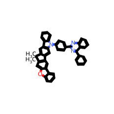 CC1(C)c2cc3oc4ccccc4c3cc2-c2cc3c(cc21)c1ccccc1n3-c1ccc(-c2nc(-c3ccccc3)c3ccccc3n2)cc1